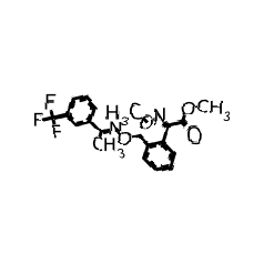 CO/N=C(/C(=O)OC)c1ccccc1CO/N=C(\C)c1cccc(C(F)(F)F)c1